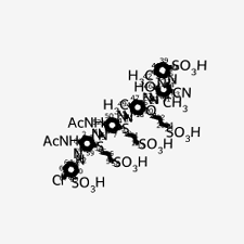 CC(=O)Nc1cc(N=Nc2cc(SCCCS(=O)(=O)O)c(N=Nc3cc(OCCCCS(=O)(=O)O)c(N=Nc4c(C)c(C#N)c5nc6c(S(=O)(=O)O)ccc(C)c6n5c4O)cc3C)cc2NC(C)=O)c(SCCCS(=O)(=O)O)cc1N=Nc1ccc(Cl)c(S(=O)(=O)O)c1